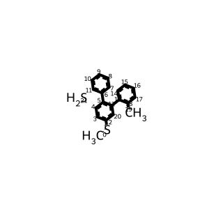 CSc1ccc(-c2ccccc2)c(-c2ccccc2C)c1.S